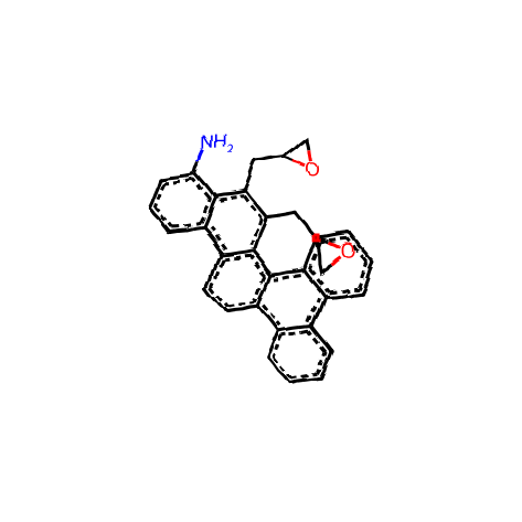 Nc1cccc2c1c(CC1CO1)c(CC1CO1)c1c2ccc2c3ccccc3c3ccccc3c21